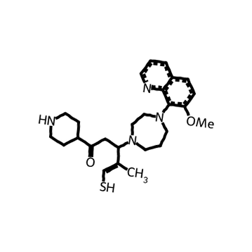 COc1ccc2cccnc2c1N1CCCN(C(CC(=O)C2CCNCC2)/C(C)=C/S)CC1